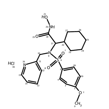 COc1ccc(S(=O)(=O)N(Cc2ccccn2)C(C(=O)NO)C2CCCCC2)cc1.Cl